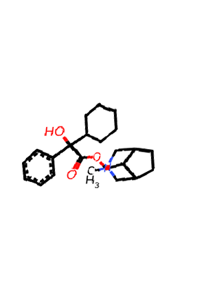 CN1CC2CCC(C1)C2COC(=O)C(O)(c1ccccc1)C1CCCCC1